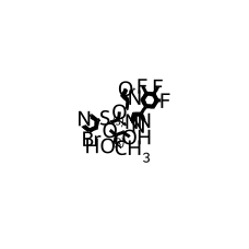 C[C@@H](O)C(CO)OC(Sc1cncc(Br)c1)[C@H](Cn1cc(-c2cc(F)c(F)c(F)c2)nn1)OCc1cocn1